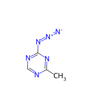 Cc1ncnc(N=[N+]=[N-])n1